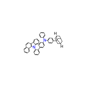 c1ccc(N(c2ccc(-c3ccccc3-n3c4ccccc4c4ccc5ccccc5c43)cc2)c2ccc(C34CC5C[C@H](C3)C[C@H](C5)C4)cc2)cc1